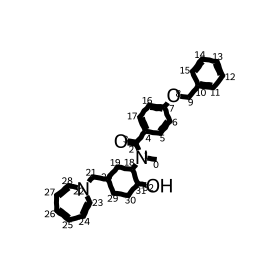 CN(C(=O)c1ccc(OCc2ccccc2)cc1)C1CC(CN2C=CC=CC=C2)CCC1O